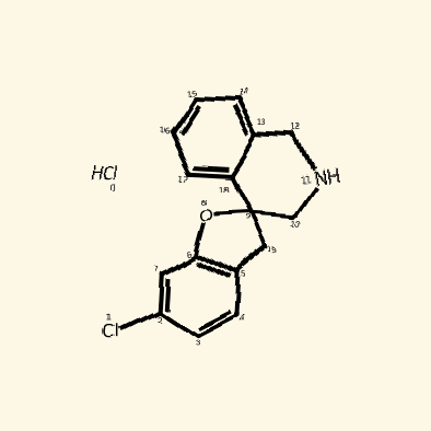 Cl.Clc1ccc2c(c1)OC1(CNCc3ccccc31)C2